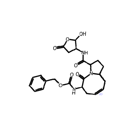 O=C1CC(NC(=O)C2CCC3C/C=C\CC(NC(=O)OCc4ccccc4)C(=O)N32)C(O)O1